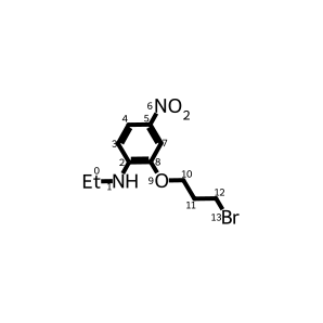 CCNc1ccc([N+](=O)[O-])cc1OCCCBr